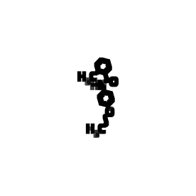 CCCOc1ccc(NC(=O)c2ccccc2C)cc1